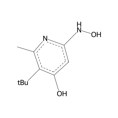 Cc1nc(NO)cc(O)c1C(C)(C)C